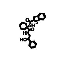 O=C(NC1(C(=O)NCC(O)c2ccccc2)CCCCC1)c1cc2ccccc2s1